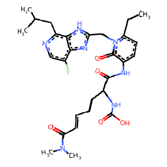 CCc1ccc(NC(=O)C(CCC=CC(=O)N(C)C)NC(=O)O)c(=O)n1Cc1nc2c(F)cnc(CC(C)C)c2[nH]1